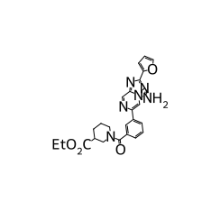 CCOC(=O)C1CCCN(C(=O)c2cccc(C3=C[N+]4(N)N=C(c5ccco5)N=C4C=N3)c2)C1